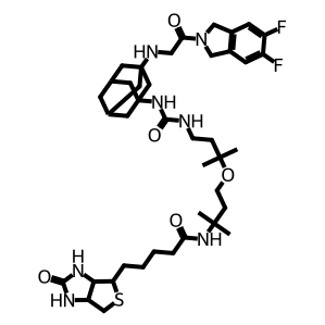 CC(C)(CCOC(C)(C)CCNC(=O)NC12CC3CC(CC(NCC(=O)N4Cc5cc(F)c(F)cc5C4)(C3)C1)C2)NC(=O)CCCCC1SCC2NC(=O)NC21